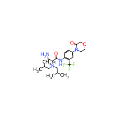 CC(C)CN(CC(C)C)[C@@H](CN)C(=O)Nc1ccc(N2CCOCC2=O)cc1C(F)(F)F